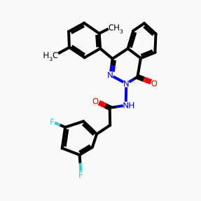 Cc1ccc(C)c(-c2nn(NC(=O)Cc3cc(F)cc(F)c3)c(=O)c3ccccc23)c1